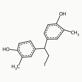 Cc1cc(C(CI)c2ccc(O)c(C)c2)ccc1O